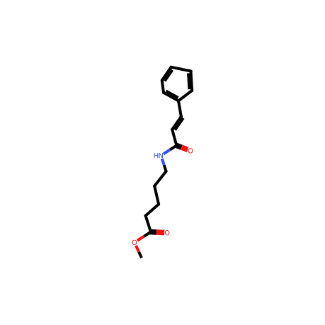 COC(=O)CCCCNC(=O)/C=C/c1ccccc1